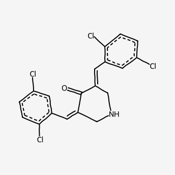 O=C1C(=Cc2cc(Cl)ccc2Cl)CNCC1=Cc1cc(Cl)ccc1Cl